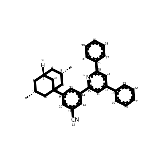 C[C@@H]1C[C@@H]2C[C@H](C)CC(c3cc(C#N)cc(-c4cc(-c5ccccc5)cc(-c5ccccc5)n4)c3)(C1)C2